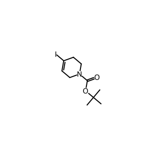 CC(C)(C)OC(=O)N1CC=C(I)CC1